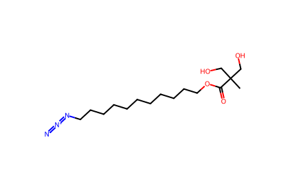 CC(CO)(CO)C(=O)OCCCCCCCCCCCN=[N+]=[N-]